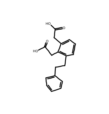 O=C(O)Cc1cccc(CCc2ccccc2)c1CC(=O)O